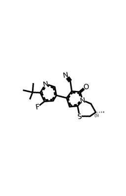 C[C@@H]1CSc2cc(-c3cnc(C(C)(C)C)c(F)c3)c(C#N)c(=O)n2C1